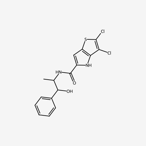 CC(NC(=O)c1cc2sc(Cl)c(Cl)c2[nH]1)C(O)c1ccccc1